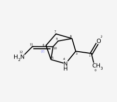 CC(=O)C1NC2CCC1C/C2=C/N